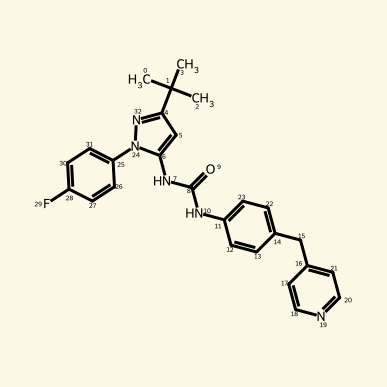 CC(C)(C)c1cc(NC(=O)Nc2ccc(Cc3ccncc3)cc2)n(-c2ccc(F)cc2)n1